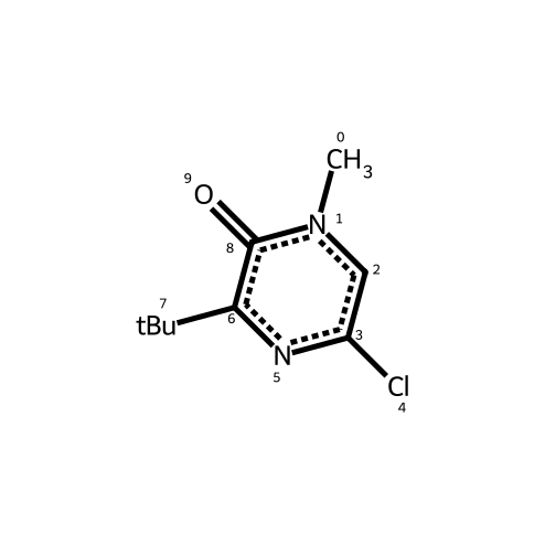 Cn1cc(Cl)nc(C(C)(C)C)c1=O